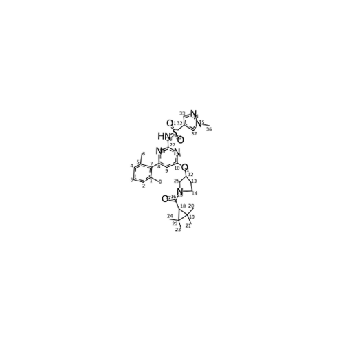 Cc1cccc(C)c1-c1cc(OC2CCN(C(=O)C3C(C)(C)C3(C)C)C2)nc(NS(=O)(=O)c2cnn(C)c2)n1